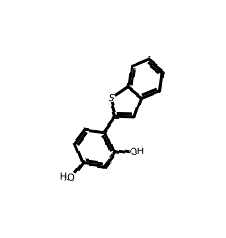 Oc1ccc(-c2cc3ccccc3s2)c(O)c1